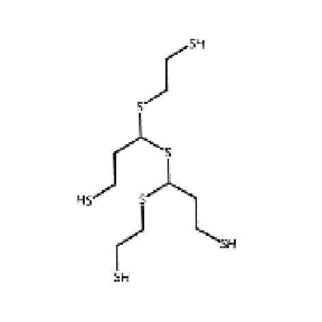 SCCSC(CCS)SC(CCS)SCCS